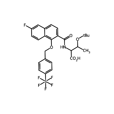 CC(OC(C)(C)C)C(NC(=O)c1ccc2cc(F)ccc2c1OCc1ccc(S(F)(F)(F)(F)F)cc1)C(=O)O